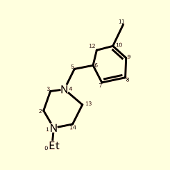 CCN1CCN(CC2C=CC=C(C)C2)CC1